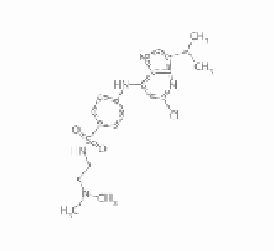 CC(C)c1cnn2c(Nc3ccc(S(=O)(=O)NCCN(C)C)cc3)cc(Cl)nc12